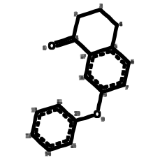 O=C1CCCc2ccc(Oc3ccccc3)cc21